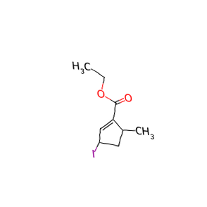 CCOC(=O)C1=CC(I)CC1C